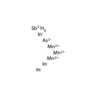 [As-3].[In].[In].[In].[Mn+2].[Mn+2].[Mn+2].[SbH6-3]